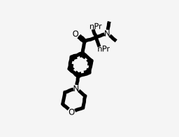 CCCC(CCC)(C(=O)c1ccc(N2CCOCC2)cc1)N(C)C